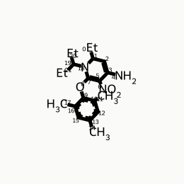 CCC1C=C(N)C([N+](=O)[O-])=C(Oc2c(C)cc(C)cc2C)N1C(CC)CC